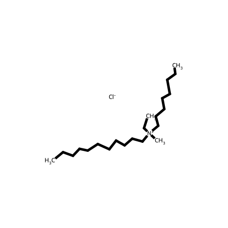 CCCCCCCCCCC[N+](C)(CC)CCCCCCCC.[Cl-]